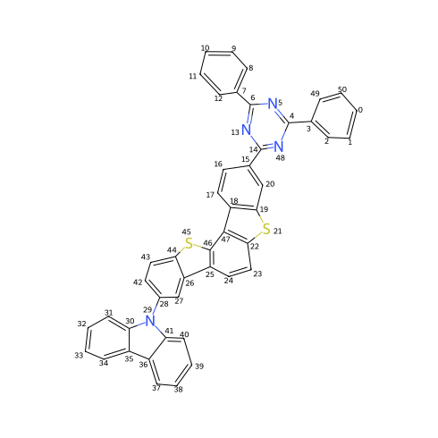 c1ccc(-c2nc(-c3ccccc3)nc(-c3ccc4c(c3)sc3ccc5c6cc(-n7c8ccccc8c8ccccc87)ccc6sc5c34)n2)cc1